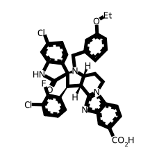 CCOc1cccc(CN2[C@@H]3CCn4c(nc5cc(C(=O)O)ccc54)[C@@H]3[C@@H](c3cccc(Cl)c3F)[C@@]23C(=O)Nc2cc(Cl)ccc23)c1